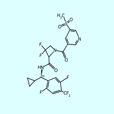 CS(=O)(=O)c1cncc(C(=O)N2CC(F)(F)C2C(=O)N[C@@H](c2cc(F)c(C(F)(F)F)cc2F)C2CC2)c1